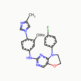 COc1cc(Nc2ncc3c(n2)N(c2ccc(F)cc2)CCO3)ccc1-n1cnc(C)c1